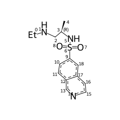 CCNC[C@@H](C)NS(=O)(=O)c1ccc2cnccc2c1